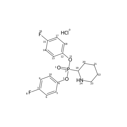 Cl.O=P(Oc1ccc(F)cc1)(Oc1ccc(F)cc1)C1CCCCN1